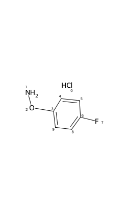 Cl.NOc1ccc(F)cc1